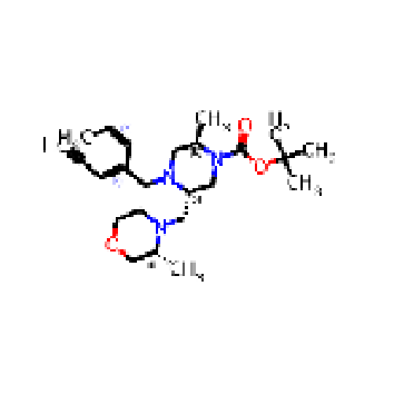 C#C/C=C(\C=C/C)CN1C[C@@H](C)N(C(=O)OC(C)(C)C)C[C@@H]1CN1CCOC[C@H]1C